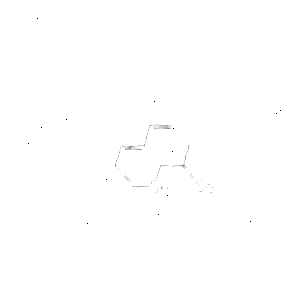 [Se]=C1CC=CC2=CC=C[Se]C12